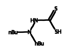 CCCCN(CCCC)NC(=S)S